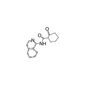 O=C1CCCCC1C(=O)Nc1nccc2ccccc12